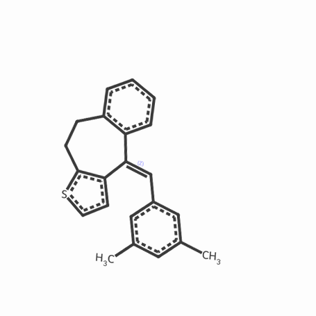 Cc1cc(C)cc(/C=C2/c3ccccc3CCc3sccc32)c1